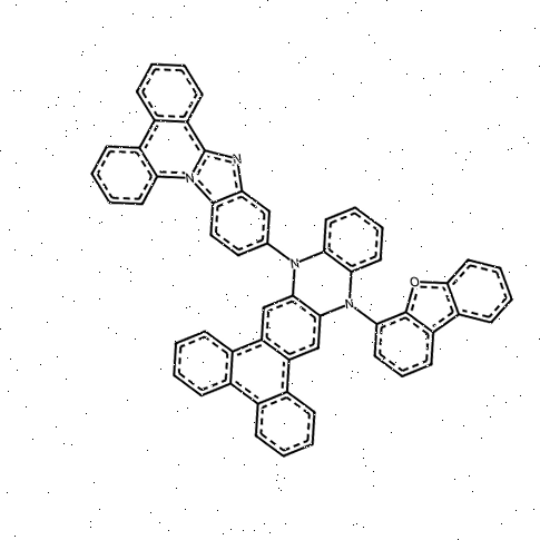 c1ccc2c(c1)N(c1ccc3c(c1)nc1c4ccccc4c4ccccc4n31)c1cc3c4ccccc4c4ccccc4c3cc1N2c1cccc2c1oc1ccccc12